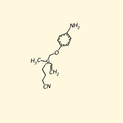 C=C[Si](C)(CCCC#N)COc1ccc(N)cc1